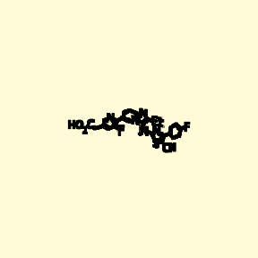 CCc1nc2ccc(-c3ncc(CC(=O)O)cc3F)cn2c1N(C)c1nc(-c2ccc(F)cc2)c(C#N)s1